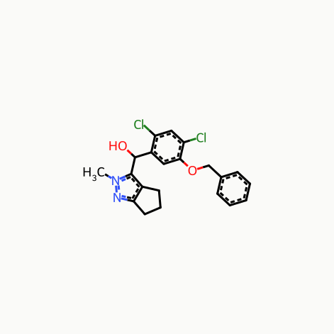 Cn1nc2c(c1C(O)c1cc(OCc3ccccc3)c(Cl)cc1Cl)CCC2